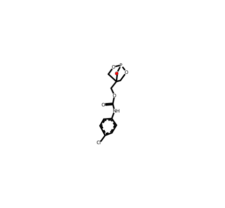 O=C(Nc1ccc(Cl)cc1)OCC12COP(OC1)OC2